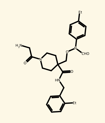 CCc1ccc(N(C=O)OCC2(C(=O)NCc3ccccc3CC)CCN(C(=O)CN)CC2)cc1